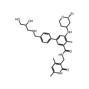 CC[C@H]1CC(Nc2cc(-c3ccc(CNCC(O)CO)cc3)cc(C(=O)NCc3c(C)cc(C)[nH]c3=O)c2C)CCO1